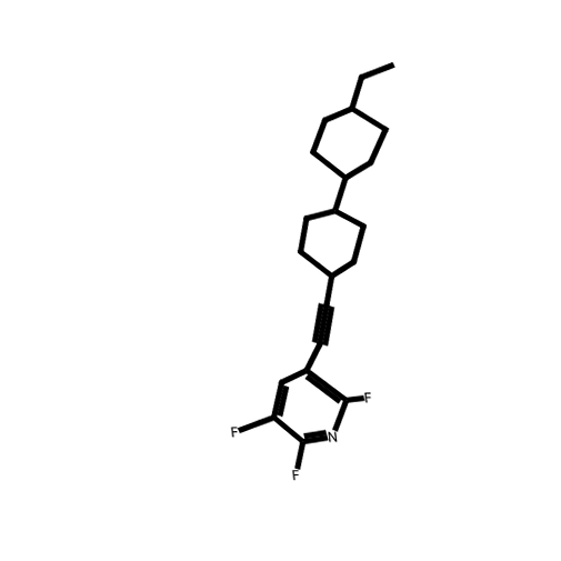 CCC1CCC(C2CCC(C#Cc3cc(F)c(F)nc3F)CC2)CC1